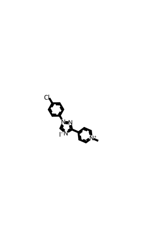 C[n+]1ccc(-c2ncn(-c3ccc(Cl)cc3)n2)cc1.[I-]